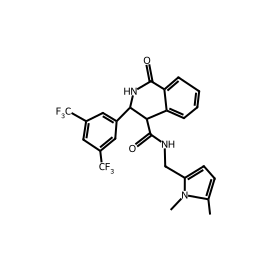 Cc1ccc(CNC(=O)C2c3ccccc3C(=O)NC2c2cc(C(F)(F)F)cc(C(F)(F)F)c2)n1C